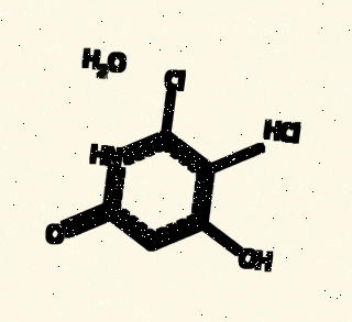 Cc1c(O)cc(=O)[nH]c1Cl.Cl.O